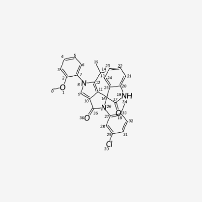 COc1ccccc1-n1cc2c(c1C(C)C)C1(C(=O)Nc3ccccc31)N(c1cc(Cl)ccc1C)C2=O